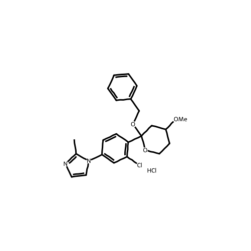 COC1CCOC(OCc2ccccc2)(c2ccc(-n3ccnc3C)cc2Cl)C1.Cl